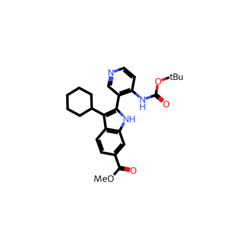 COC(=O)c1ccc2c(C3CCCCC3)c(-c3cnccc3NC(=O)OC(C)(C)C)[nH]c2c1